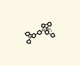 CC12c3ccccc3-c3cccc(c31)N(c1ccc(-c3ccc4c(c3)c3ccccc3n4-c3ccccc3)cc1)c1ccc(-c3ccccc3)cc12